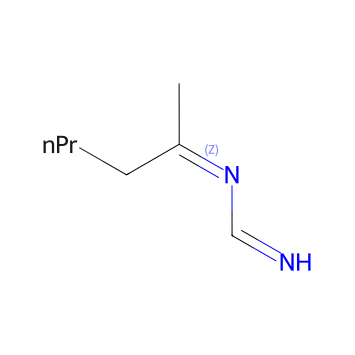 CCCC/C(C)=N\C=N